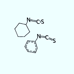 S=C=NC1CCCCC1.S=C=Nc1ccccc1